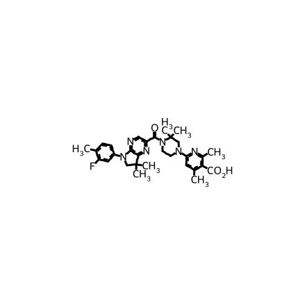 Cc1ccc(N2CC(C)(C)c3nc(C(=O)N4CCN(c5cc(C)c(C(=O)O)c(C)n5)CC4(C)C)cnc32)cc1F